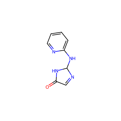 O=C1C=NC(Nc2ccccn2)N1